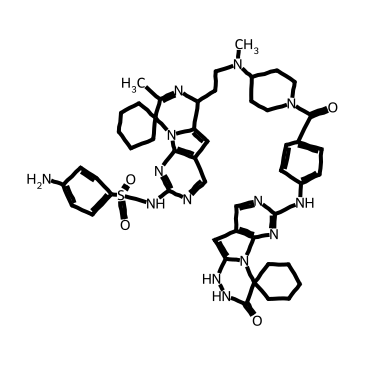 CC1=NC(CCN(C)C2CCN(C(=O)c3ccc(Nc4ncc5cc6n(c5n4)C4(CCCCC4)C(=O)NN6)cc3)CC2)c2cc3cnc(NS(=O)(=O)c4ccc(N)cc4)nc3n2C12CCCCC2